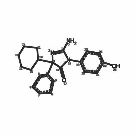 NC1=NC(c2ccccc2)(C2CCCCC2)C(=O)N1c1ccc(O)cc1